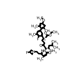 CCOC(=O)C[C@H](CCC(=O)[C@H](C([SiH3])CC(C)C)n1nc(CCN2CC(F)C2)c(C)cc1=O)c1cc(-c2c(C)cc(OC)cc2C)cc(C)c1F